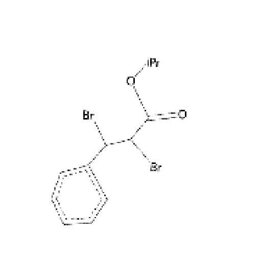 CC(C)OC(=O)C(Br)C(Br)c1ccccc1